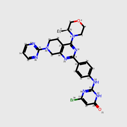 CC[C@H]1COCCN1c1nc(-c2ccc(Nc3nc(Br)cc(=O)[nH]3)cc2)nc2c1CCN(c1ncccn1)C2